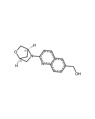 OCc1ccc2nc(N3C[C@@H]4C[C@H]3CO4)ccc2c1